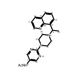 CC(=O)Nc1cnc(N2CCN(C(C)c3cccc4cccnc34)CC2)nc1